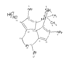 CCCC1=[C]([Hf]([CH3])([CH3])(=[SiH2])[C]2=C(CCC)C=C(CC(C)C)C2)CC(CC(C)C)=C1.Cl.Cl